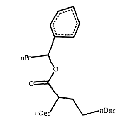 CCCCCCCCCCCCC(CCCCCCCCCC)C(=O)OC(CCC)c1ccccc1